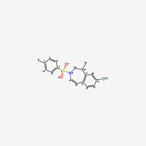 Cc1ccc(S(=O)(=O)N2C=Cc3ccc(Cl)cc3C(C)C2)cc1